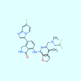 C=C(/C(CN(C)CC(F)F)=N\C(=C/C)Nc1ccc(-c2cnc3cc(F)ccn23)c2c1C(=O)NC2)[C@H]1CCOC1